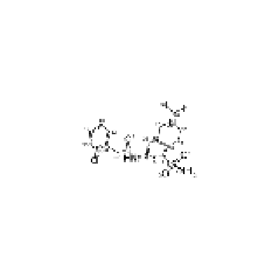 NS(=O)(=O)c1cc(NC(=O)Cc2ccccc2Cl)cc2c1CCN(C(I)I)C2